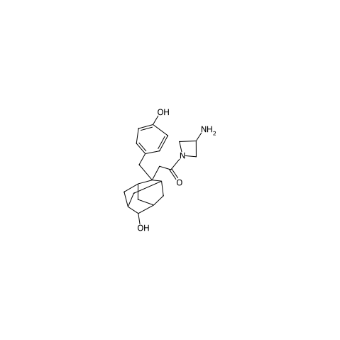 NC1CN(C(=O)CC2(Cc3ccc(O)cc3)C3CC4CC2CC(C3)C4O)C1